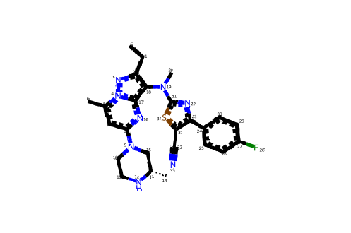 CCc1nn2c(C)cc(N3CCN[C@@H](C)C3)nc2c1N(C)c1nc(-c2ccc(F)cc2)c(C#N)s1